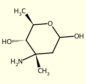 C[C@H]1OC(O)C[C@](C)(N)[C@@H]1O